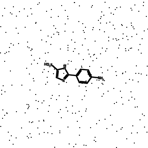 Nc1ccc(-c2ncc(S(=O)(=O)O)[nH]2)cc1